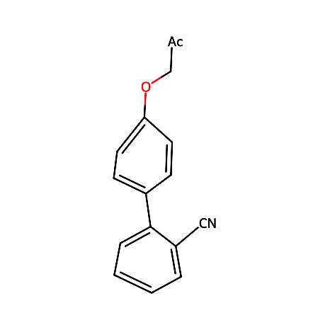 CC(=O)COc1ccc(-c2ccccc2C#N)cc1